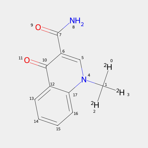 [2H]C([2H])([2H])n1cc(C(N)=O)c(=O)c2ccccc21